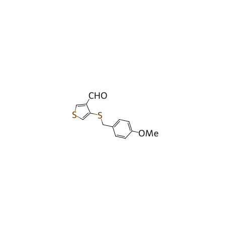 COc1ccc(CSc2cscc2C=O)cc1